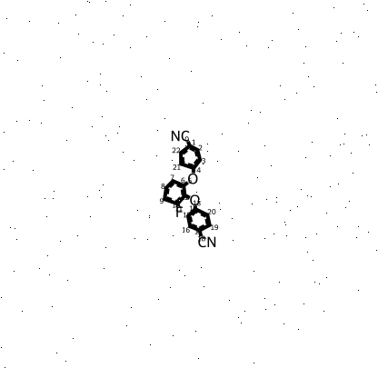 N#Cc1ccc(Oc2cccc(F)c2Oc2ccc(C#N)cc2)cc1